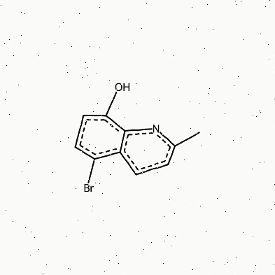 Cc1ccc2c(Br)ccc(O)c2n1